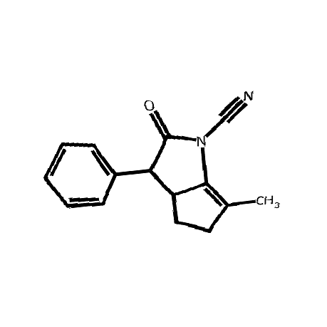 CC1=C2C(CC1)C(c1ccccc1)C(=O)N2C#N